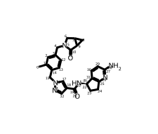 Cc1cc(CN2CC3CC3C2=O)ccc1Cn1cc(C(=O)N[C@@H]2CCc3nc(N)ccc32)cn1